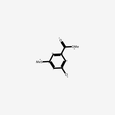 COC(=O)c1cc(Cl)cc(SC)c1